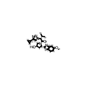 COc1ccc2sc([C@@H]3C[C@@H](O)CN3C(=O)[C@@H](C(C)C)n3cc(C4CC4)nn3)nc2c1